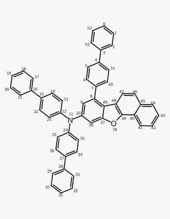 c1ccc(-c2ccc(-c3cc(N(c4ccc(-c5ccccc5)cc4)c4ccc(-c5ccccc5)cc4)cc4oc5c6ccccc6ccc5c34)cc2)cc1